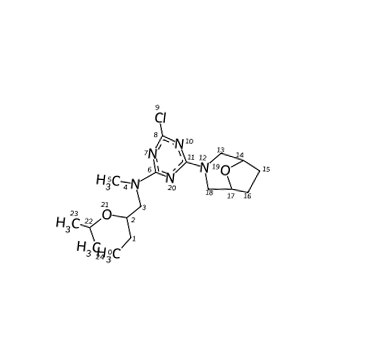 CCC(CN(C)c1nc(Cl)nc(N2CC3CCC(C2)O3)n1)OC(C)C